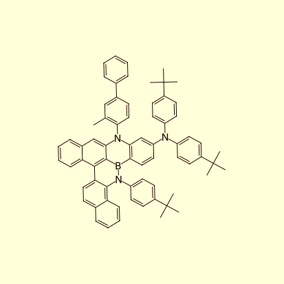 Cc1cc(-c2ccccc2)ccc1N1c2cc(N(c3ccc(C(C)(C)C)cc3)c3ccc(C(C)(C)C)cc3)ccc2B2c3c1cc1ccccc1c3-c1ccc3ccccc3c1N2c1ccc(C(C)(C)C)cc1